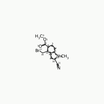 COC(=O)c1ccc2c(cc(C#N)n2C)c1CBr